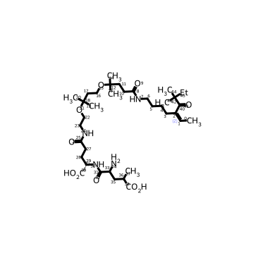 C/C=C(/CCCCNC(=O)CCC(C)(C)OCCC(C)(C)OCCNC(=O)CC[C@H](NC(=O)C(N)CC(C)C(=O)O)C(=O)O)C(=O)C(C)(C)CC